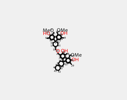 COCc1cc(C2(c3cc(C)c(O)c(COC)c3)CCC(COCc3cc(C4(c5cc(C)c(O)c(COC)c5)CCC5(CCCCC5)CC4)cc(C)c3O)CC2)cc(C)c1O